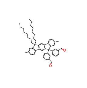 CCCCCCCCC1(CCCCCCCC)c2cc(C)ccc2-c2cc3c(cc21)-c1ccc(C)cc1C3(c1cccc(C=O)c1)c1cccc(C=O)c1